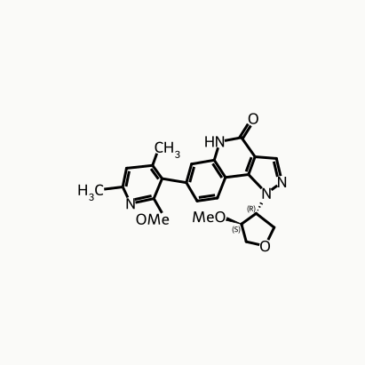 COc1nc(C)cc(C)c1-c1ccc2c(c1)[nH]c(=O)c1cnn([C@@H]3COC[C@H]3OC)c12